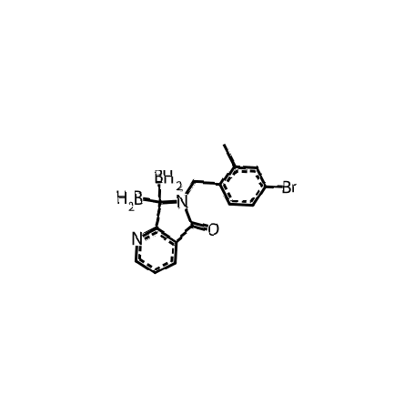 BC1(B)c2ncccc2C(=O)N1Cc1ccc(Br)cc1C